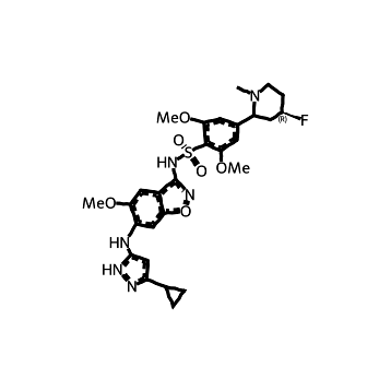 COc1cc2c(NS(=O)(=O)c3c(OC)cc(C4C[C@H](F)CCN4C)cc3OC)noc2cc1Nc1cc(C2CC2)n[nH]1